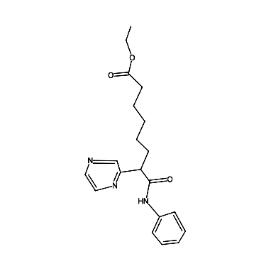 CCOC(=O)CCCCCC(C(=O)Nc1ccccc1)c1cnccn1